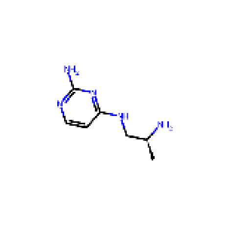 C[C@H](N)CNc1ccnc(N)n1